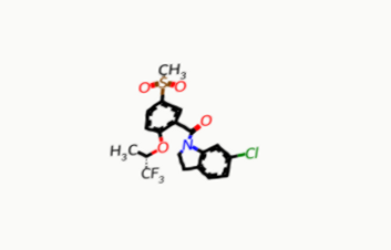 C[C@H](Oc1ccc(S(C)(=O)=O)cc1C(=O)N1CCc2ccc(Cl)cc21)C(F)(F)F